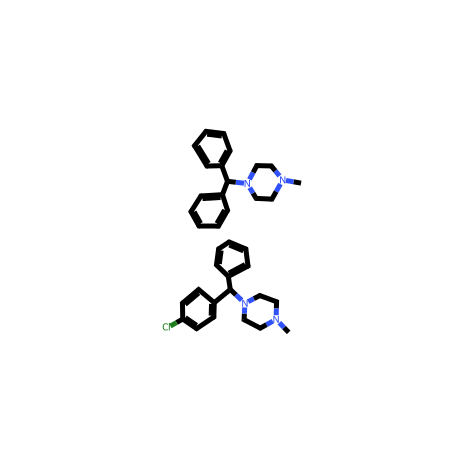 CN1CCN(C(c2ccccc2)c2ccc(Cl)cc2)CC1.CN1CCN(C(c2ccccc2)c2ccccc2)CC1